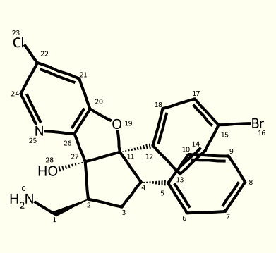 NC[C@@H]1C[C@@H](c2ccccc2)[C@]2(c3ccc(Br)cc3)Oc3cc(Cl)cnc3[C@]12O